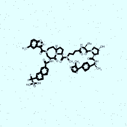 Cc1ccc2onc(C(=O)N3CC[C@H]4CC[C@@H](C(=O)N(C)CCCC(=O)N[C@H](C(=O)N5C[C@H](O)C[C@H]5C(=O)N[C@@H](C)c5ccc(-c6scnc6C)cc5)C(C)(C)C)N4C(=O)[C@@H](NC(=O)c4ccc5ccc(C(F)(F)P(=O)(O)O)cc5c4)C3)c2c1